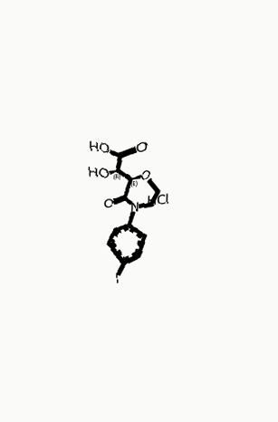 Cl.O=C(O)[C@H](O)[C@H]1OCCN(c2ccc(I)cc2)C1=O